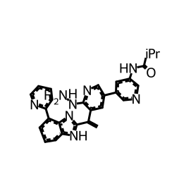 C=C(c1nc2c(-c3ccccn3)cccc2[nH]1)c1cc(-c2cncc(NC(=O)C(C)C)c2)cnc1NN